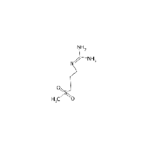 CS(=O)(=O)CCCN=C(N)N